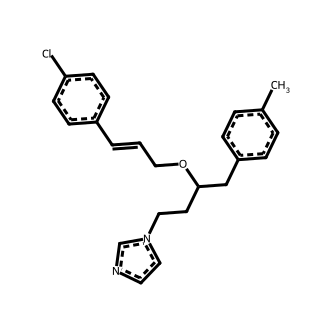 Cc1ccc(CC(CCn2ccnc2)OCC=Cc2ccc(Cl)cc2)cc1